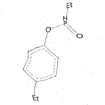 CCc1ccc(O[PH](=O)CC)cc1